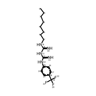 CCCCCCCCNC(=N)NC(=N)Nc1ccc(C(F)(F)F)cc1